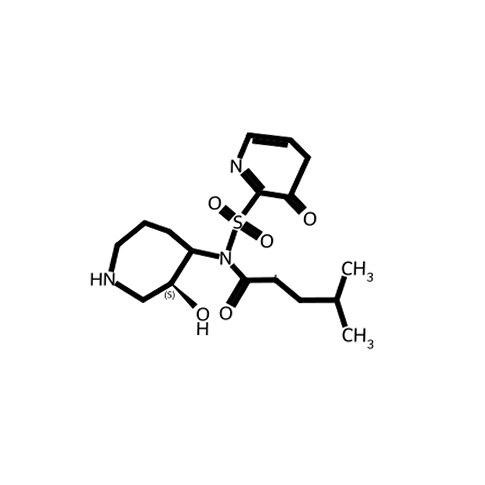 CC(C)C[CH]C(=O)N(C1CCCNC[C@@H]1O)S(=O)(=O)C1=NC=CCC1=O